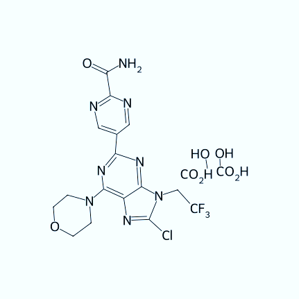 NC(=O)c1ncc(-c2nc(N3CCOCC3)c3nc(Cl)n(CC(F)(F)F)c3n2)cn1.O=C(O)O.O=C(O)O